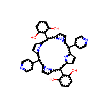 Oc1cccc(O)c1-c1c2nc(c(-c3ccncc3)c3ccc([nH]3)c(-c3c(O)cccc3O)c3nc(c(-c4ccncc4)c4ccc1[nH]4)C=C3)C=C2